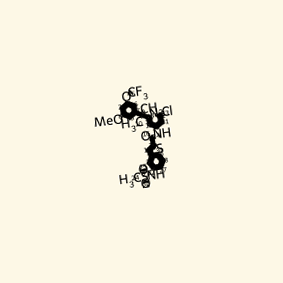 COc1cc(OC(F)(F)F)cc(C(C)(C)c2cc(NC(=O)c3cc4cc(NS(C)(=O)=O)ccc4s3)cc(Cl)n2)c1